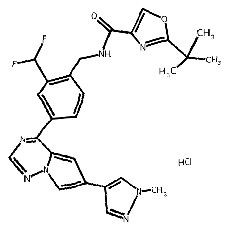 Cl.Cn1cc(-c2cc3c(-c4ccc(CNC(=O)c5coc(C(C)(C)C)n5)c(C(F)F)c4)ncnn3c2)cn1